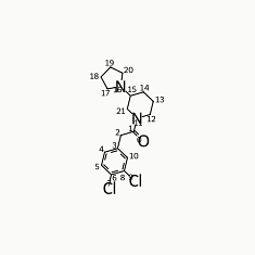 O=C(Cc1ccc(Cl)c(Cl)c1)N1CCCC(N2CCCC2)C1